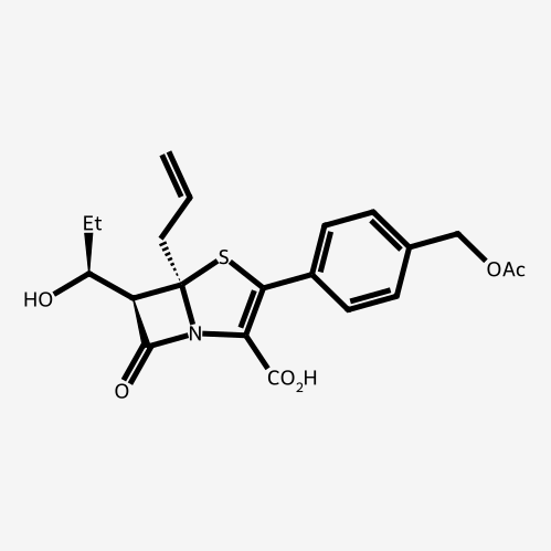 C=CC[C@]12SC(c3ccc(COC(C)=O)cc3)=C(C(=O)O)N1C(=O)[C@H]2[C@@H](O)CC